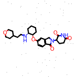 O=C1CCC(N2Cc3cc(O[C@@H]4CCCC[C@H]4NCCC4CCOCC4)ccc3C2=O)C(=O)N1